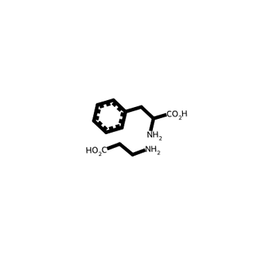 NC(Cc1ccccc1)C(=O)O.NCCC(=O)O